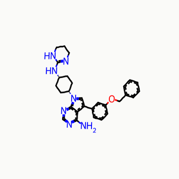 Nc1ncnc2c1c(-c1cccc(OCc3ccccc3)c1)cn2[C@H]1CC[C@@H](NC2=NCCCN2)CC1